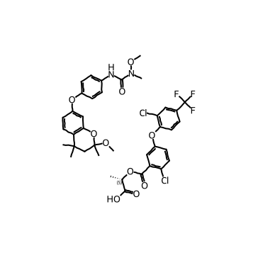 CON(C)C(=O)Nc1ccc(Oc2ccc3c(c2)OC(C)(OC)CC3(C)C)cc1.C[C@H](OC(=O)c1cc(Oc2ccc(C(F)(F)F)cc2Cl)ccc1Cl)C(=O)O